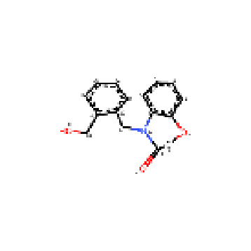 O=C1COc2ccccc2N1Cc1ccccc1CO